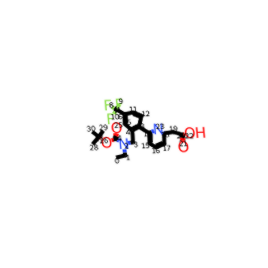 CCN(Cc1cc(C(F)(F)F)ccc1-c1cccc(CC(=O)O)n1)C(=O)OC(C)(C)C